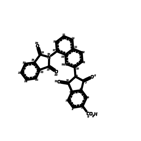 O=C(O)c1ccc2c(c1)C(=O)C(c1ccc3cccc(N4C(=O)c5ccccc5C4=O)c3n1)C2=O